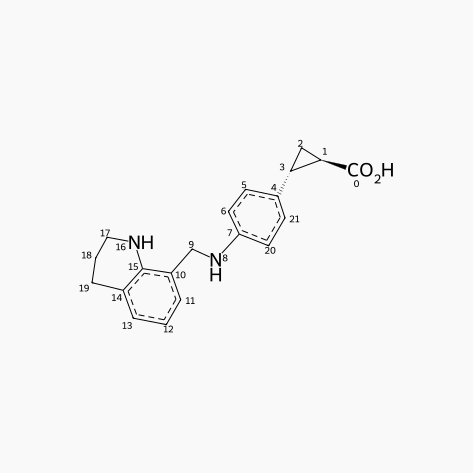 O=C(O)[C@@H]1C[C@H]1c1ccc(NCc2cccc3c2NCCC3)cc1